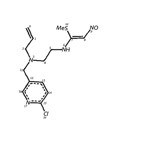 C=CCN(CCN/C(=C/N=O)SC)Cc1ccc(Cl)nc1